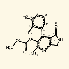 COC(=O)Oc1c(C)nc2c(c1-c1cccc(Cl)c1Cl)C(=O)NC2